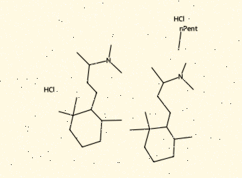 CC1CCCC(C)(C)C1CCC(C)N(C)C.CC1CCCC(C)(C)C1CCC(C)N(C)C.CCCCCC.Cl.Cl